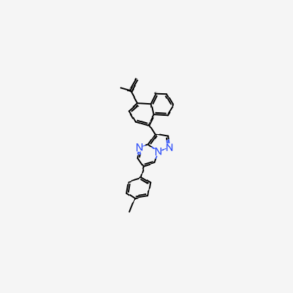 C=C(C)c1ccc(-c2cnn3cc(-c4ccc(C)cc4)cnc23)c2ccccc12